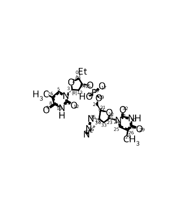 CC[C@H]1O[C@@H](n2cc(C)c(=O)[nH]c2=O)C[C@@H]1OP(=O)(O)OC[C@H]1O[C@@H](n2cc(C)c(=O)[nH]c2=O)C[C@@H]1N=[N+]=[N-]